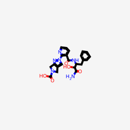 NC(=O)C(O)C(Cc1ccccc1)NC(=O)c1cccnc1-n1cc2c(n1)CN(C(=O)O)C2